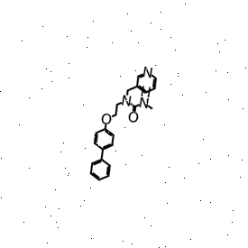 CNC(=O)N(CCOc1ccc(-c2ccccc2)cc1)Cc1cccnc1